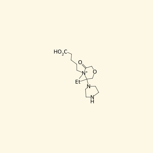 CCC1(N2CCNCC2)COCC(=O)[N+]1(C)CCCCC(=O)O